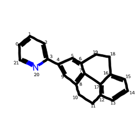 c1ccc(-c2cc3c4c(c2)CCc2cccc(c2-4)CC3)nc1